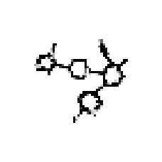 Cc1ccc(-c2ccc(F)nc2)c(N2CCC(c3nncn3C)CC2)c1C#N